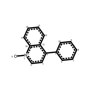 [O-][n+]1ccc(-c2ccccc2)c2ccccc21